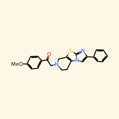 COc1ccc(C(=O)CN2CCc3c(sc4nc(-c5ccccc5)cn34)C2)cc1